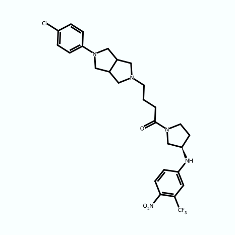 O=C(CCCN1CC2CN(c3ccc(Cl)cc3)CC2C1)N1CC[C@@H](Nc2ccc([N+](=O)[O-])c(C(F)(F)F)c2)C1